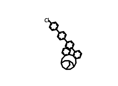 Clc1ccc(-c2ccc(-c3ccc(-c4cccc5c4-c4ccccc4CC4CC6CC(C5)CC(C4)C6)cc3)cc2)cc1